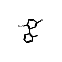 COc1ccc(Br)cc1-c1ccc[c]c1C